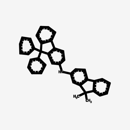 CC1(C)c2ccccc2-c2ccc(Nc3ccc4c(c3)C(c3ccccc3)(c3ccccc3)c3ccccc3-4)cc21